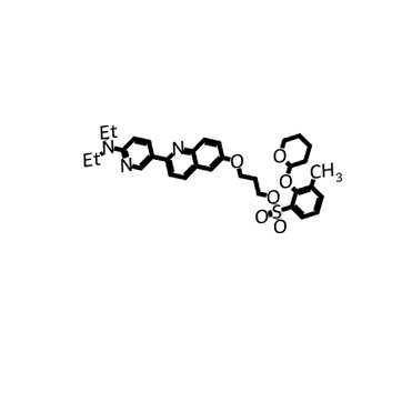 CCN(CC)c1ccc(-c2ccc3cc(OCCCOS(=O)(=O)c4cccc(C)c4OC4CCCCO4)ccc3n2)cn1